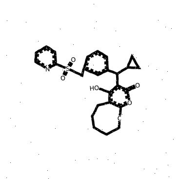 O=c1oc2c(c(O)c1C(c1cccc(CS(=O)(=O)c3ccccn3)c1)C1CC1)CCCCCC2